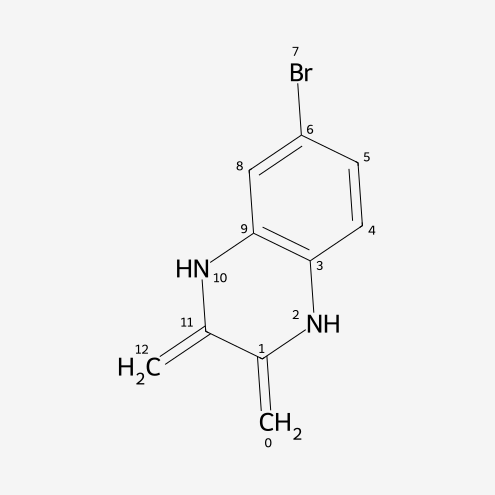 C=C1Nc2ccc(Br)cc2NC1=C